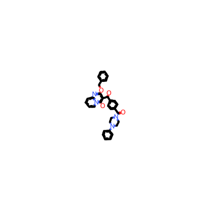 O=C(c1ccc(C(=O)N2CCN(c3ccccc3)CC2)cc1)c1c(OCc2ccccc2)nc2ccccn2c1=O